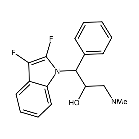 CNCC(O)C(c1ccccc1)n1c(F)c(F)c2ccccc21